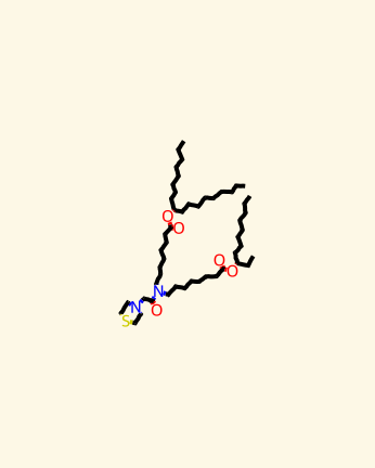 CCCCCCCCCC(CCCCCCCC)OC(=O)CCCCCCCN(CCCCCCCC(=O)OC(CC)CCCCCCCC)C(=O)CN1CCSCC1